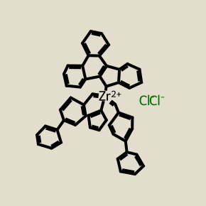 C1=CC[C]([Zr+2](=[CH]c2ccc(-c3ccccc3)cc2)(=[CH]c2ccc(-c3ccccc3)cc2)[CH]2c3ccccc3-c3c2c2ccccc2c2ccccc32)=C1.[Cl-].[Cl-]